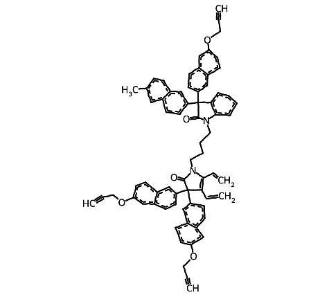 C#CCOc1ccc2cc(C3(c4ccc5cc(OCC#C)ccc5c4)C(=O)N(CCCCN4C(=O)C(c5ccc6cc(C)ccc6c5)(c5ccc6cc(OCC#C)ccc6c5)c5ccccc54)C(C=C)=C3C=C)ccc2c1